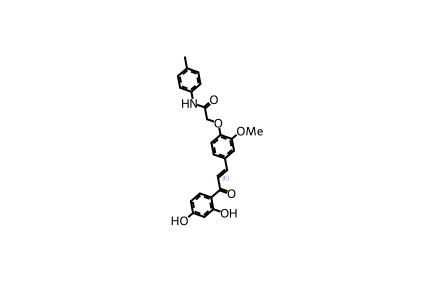 COc1cc(/C=C/C(=O)c2ccc(O)cc2O)ccc1OCC(=O)Nc1ccc(C)cc1